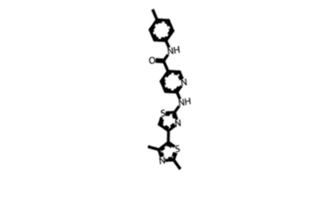 Cc1ccc(NC(=O)c2ccc(Nc3nc(-c4sc(C)nc4C)cs3)nc2)cc1